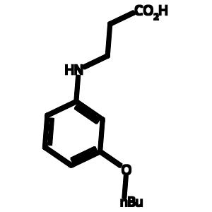 CCCCOc1cccc(NCCC(=O)O)c1